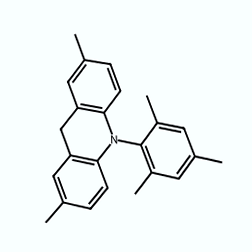 Cc1cc(C)c(N2c3ccc(C)cc3Cc3cc(C)ccc32)c(C)c1